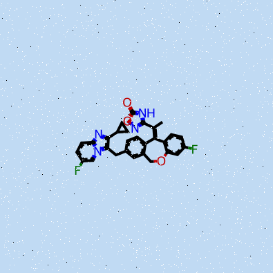 CC(=C1c2ccc(Cc3c(C4CC4)nc4ccc(F)cn34)cc2COc2cc(F)ccc21)c1noc(=O)[nH]1